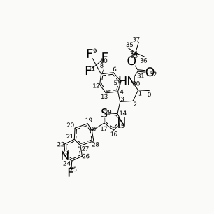 CC(CC(c1ccc(C(F)(F)F)cc1)c1ncc(-c2ccc3cnc(F)cc3c2)s1)NC(=O)OC(C)(C)C